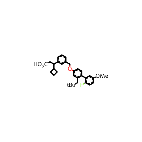 COc1ccc(F)c(-c2ccc(OCc3cccc(C(CC(=O)O)C4CCC4)c3)cc2CC(C)(C)C)c1